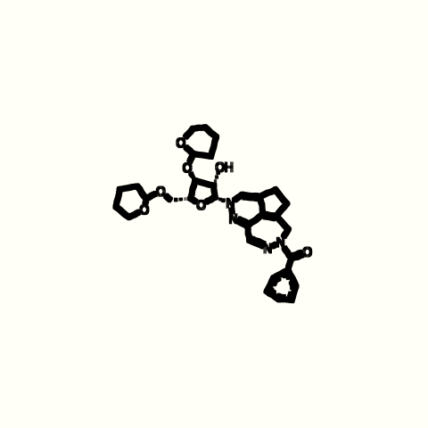 O=C(c1ccccc1)N1CC2=C3C(=CN([C@@H]4O[C@H](COC5CCCCO5)[C@@H](OC5CCCCO5)[C@@H]4O)N=C3C=N1)CC2